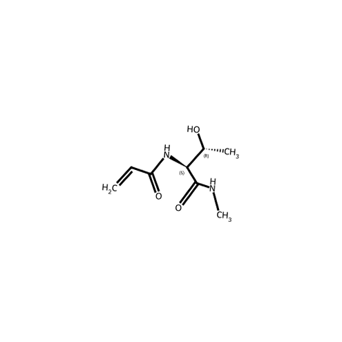 C=CC(=O)N[C@H](C(=O)NC)[C@@H](C)O